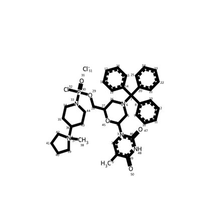 Cc1cn(C2CN(C(c3ccccc3)(c3ccccc3)c3ccccc3)CC(COP(=O)(Cl)N3CCC([N+]4(C)CCCC4)CC3)O2)c(=O)[nH]c1=O.[Cl-]